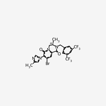 Cc1cn(-c2c(Br)cc3n(c2=O)C[C@@H](C)N(Cc2cc(C(F)(F)F)cc(C(F)(F)F)c2)C3=O)cn1